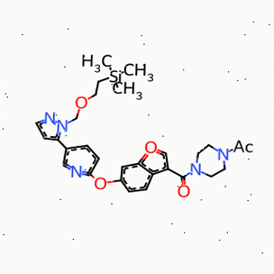 CC(=O)N1CCN(C(=O)c2coc3cc(Oc4ccc(-c5ccnn5COCC[Si](C)(C)C)cn4)ccc23)CC1